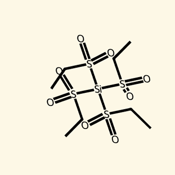 CCS(=O)(=O)[Si](S(=O)(=O)CC)(S(=O)(=O)CC)S(=O)(=O)CC